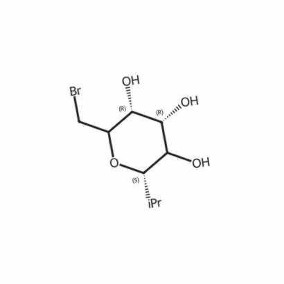 CC(C)[C@@H]1OC(CBr)[C@H](O)[C@H](O)C1O